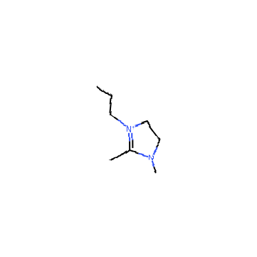 CCC[N+]1=C(C)N(C)CC1